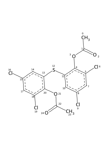 CC(=O)Oc1c(Cl)cc(Cl)cc1Sc1cc(Cl)cc(Cl)c1OC(C)=O